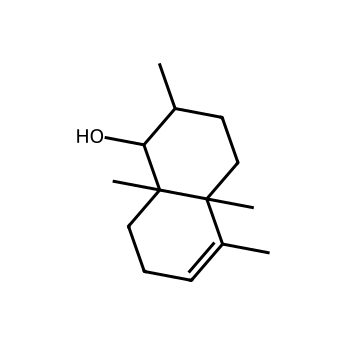 CC1=CCCC2(C)C(O)C(C)CCC12C